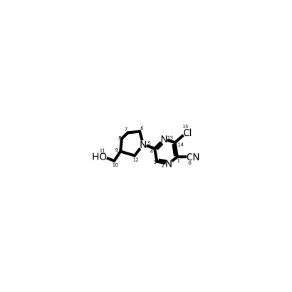 N#Cc1ncc(N2CCCC(CO)C2)nc1Cl